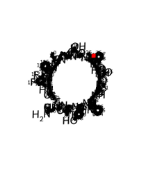 CCCC[C@H]1C(=O)N2CCC[C@@H]2C(=O)N[C@@H](CC(=O)O)C(=O)N[C@@H](C(C)C)C(=O)N(C)[C@@H](Cc2ccccc2)C(=O)N[C@@H](CC(=O)O)C(=O)N2CSC[C@@H]2C(=O)N[C@@H](Cc2c[nH]c3ccccc23)C(=O)N[C@@H](Cc2ccc(O)cc2)C(=O)N[C@@H](CC(C)C)C(=O)N[C@H](C(=O)NCC(N)=O)CSCC(=O)N[C@@H](Cc2cc(F)c(F)c(F)c2)C(=O)N(C)[C@@H](Cc2ccccc2)C(=O)N1C